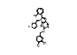 Clc1ccc(CNc2ncc3nc(-c4ccccc4Cl)n(CC4CCNC4)c3n2)cc1Cl